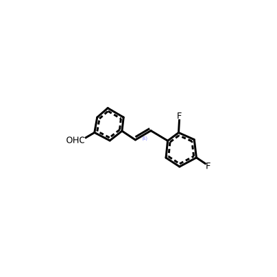 O=Cc1cccc(/C=C/c2ccc(F)cc2F)c1